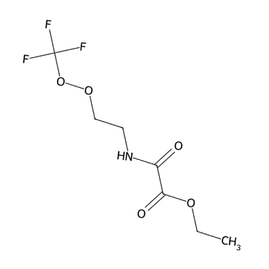 CCOC(=O)C(=O)NCCOOC(F)(F)F